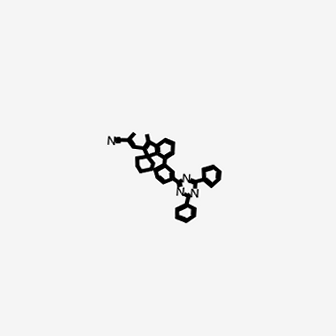 CC1=C(/C=C(\C)C#N)C2(CCCCC2)c2c1cccc2-c1cccc(-c2nc(-c3ccccc3)nc(-c3ccccc3)n2)c1